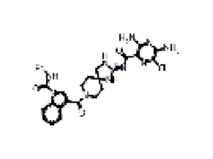 CC(C)NC(=O)n1cc(C(=O)N2CCC3(CC2)CN/C(=N\C(=O)c2nc(Cl)c(N)nc2N)N3)c2ccccc21